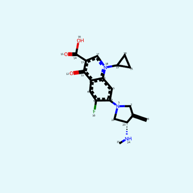 C=C1CN(c2cc3c(cc2F)c(=O)c(C(=O)O)cn3C2CC2)C[C@H]1NC